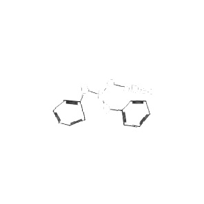 CCCCCCCCCCOP(Oc1ccccc1)Oc1ccccc1